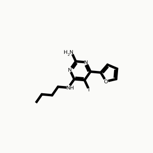 CCCCNc1nc(N)nc(-c2ccco2)c1I